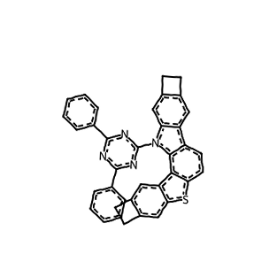 c1ccc(-c2nc(-c3ccccc3)nc(-n3c4cc5c(cc4c4ccc6sc7cc8c(cc7c6c43)CC8)CC5)n2)cc1